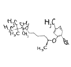 Cc1ccc(Br)c(O[C@@H](C)CCCCO[Si](C)(C)C(C)(C)C)c1